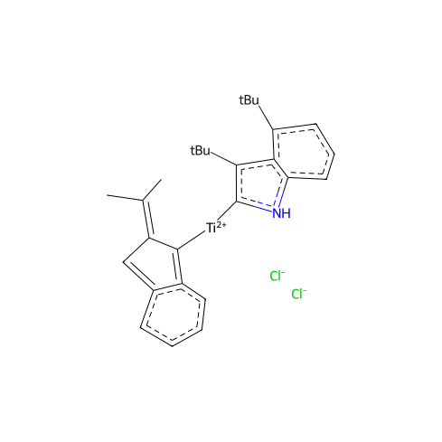 CC(C)=C1C=c2ccccc2=[C]1[Ti+2][c]1[nH]c2cccc(C(C)(C)C)c2c1C(C)(C)C.[Cl-].[Cl-]